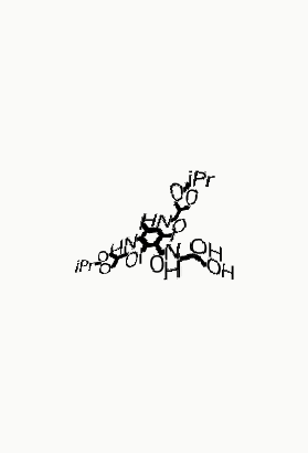 CC(C)C1OCC(C(=O)Nc2c(I)c(NC(=O)C3COC(C(C)C)OC3)c(I)c(C(=O)NCC(O)CO)c2I)CO1